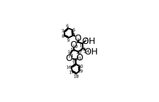 OC1C(Oc2ccccc2)OC2COC(c3ccccc3)OC2C1O